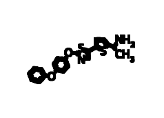 CC(N)c1ccc(-c2cnc(Oc3ccc(Oc4ccccc4)cc3)s2)s1